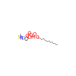 CCCCCCCCCCCCCCOCC(COP(=O)(O)Oc1cccc(C[n+]2csc(C)c2)c1)OC